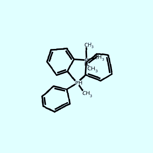 C[PH](C)(C)c1ccccc1[PH](C)(c1ccccc1)c1ccccc1